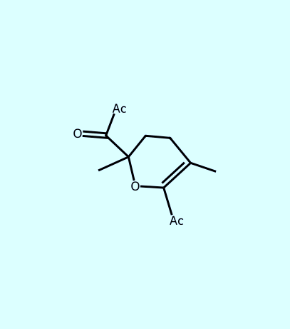 CC(=O)C(=O)C1(C)CCC(C)=C(C(C)=O)O1